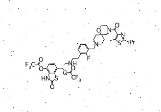 Cc1sc(C(C)C)nc1C(=O)N1CCOC2(CCN(Cc3cccc(CCNC[C@H](OC(=O)C(F)(F)F)c4ccc(OC(=O)C(F)(F)F)c5[nH]c(=O)sc45)c3F)CC2)C1